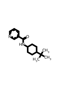 CC(C)(C)C1CCC(NC(=O)c2cccnc2)CC1